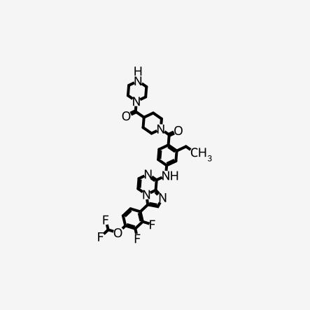 CCc1cc(Nc2nccn3c(-c4ccc(OC(F)F)c(F)c4F)cnc23)ccc1C(=O)N1CCC(C(=O)N2CCNCC2)CC1